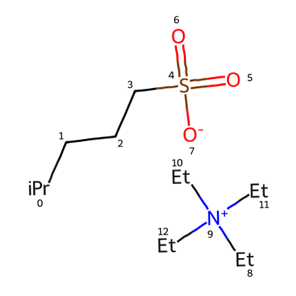 CC(C)CCCS(=O)(=O)[O-].CC[N+](CC)(CC)CC